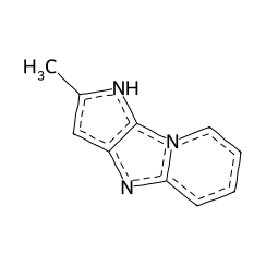 Cc1cc2nc3ccccn3c2[nH]1